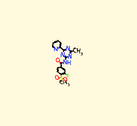 Cc1nc(NC(=O)c2ccc(S(C)(=O)=O)c(F)c2)nc(-c2ccccn2)n1